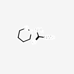 C1CCOOC1.CNC(N)=O